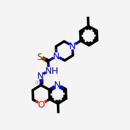 Cc1cccc(N2CCN(C(=S)N/N=C3/CCOc4c(C)ccnc43)CC2)c1